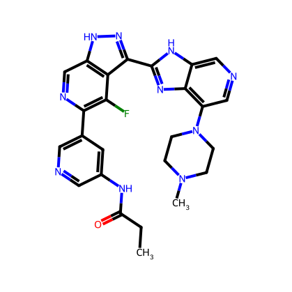 CCC(=O)Nc1cncc(-c2ncc3[nH]nc(-c4nc5c(N6CCN(C)CC6)cncc5[nH]4)c3c2F)c1